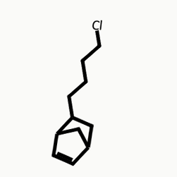 ClCCCCC1CC2C=CC1C2